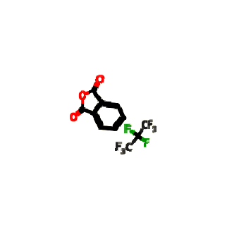 FC(F)(F)C(F)(F)C(F)(F)F.O=C1OC(=O)c2ccccc21